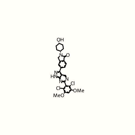 COc1cc(OC)c(Cl)c(-c2ncc3c(-c4ccc5c(c4)CN([C@H]4CC[C@@H](O)CC4)C5=O)n[nH]c3n2)c1Cl